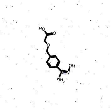 N/C(=N/O)c1ccc(COCC(=O)O)cc1